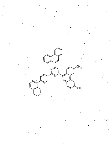 CC1C=Cc2cc(-c3cc(-c4cc5ccccc5c5ccccc45)nc(C4C=CC(c5nccc6c5C=CCC6)=CC4)n3)c3c(c2C1)CC(C)C=C3